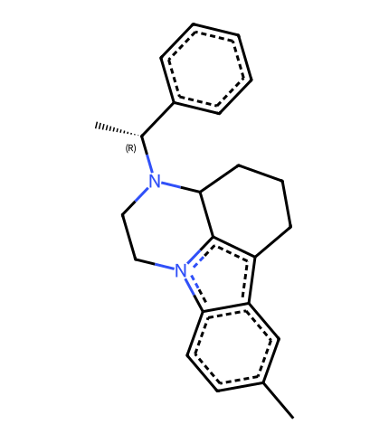 Cc1ccc2c(c1)c1c3n2CCN([C@H](C)c2ccccc2)C3CCC1